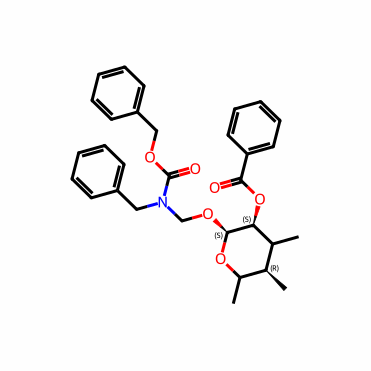 CC1O[C@@H](OCN(Cc2ccccc2)C(=O)OCc2ccccc2)[C@@H](OC(=O)c2ccccc2)C(C)[C@H]1C